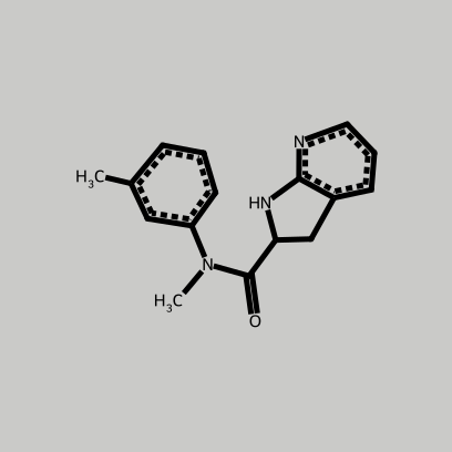 Cc1cccc(N(C)C(=O)C2Cc3cccnc3N2)c1